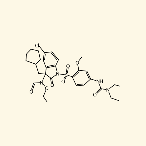 CCON(C=O)C1(CC2CCCCC2)C(=O)N(S(=O)(=O)c2ccc(NC(=O)N(CC)CC)cc2OC)c2ccc(Cl)cc21